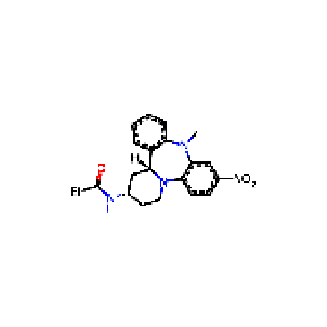 CCC(=O)N[C@H]1CCN2c3ccc([N+](=O)[O-])cc3N(C)c3ccccc3[C@H]2C1